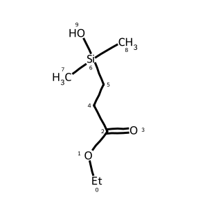 CCOC(=O)CC[Si](C)(C)O